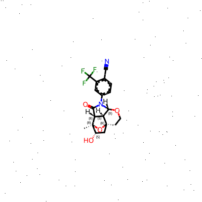 C[C@@]12O[C@]3(CCO[C@@H]4[C@H]3[C@H]1C(=O)N4c1ccc(C#N)c(C(F)(F)F)c1)C[C@@H]2O